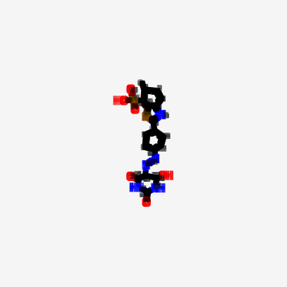 Cc1ccc2nc(-c3ccc(N=NC4C(=O)NC(=O)NC4O)cc3)sc2c1S(=O)(=O)O